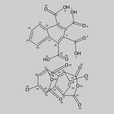 O=C(O)c1c(C(=O)O)c(C(=O)O)c2ccccc2c1C(=O)O.O=c1oc(=O)c2c(Cl)cc1c1c3c(Cl)cc(c(=O)oc3=O)c21